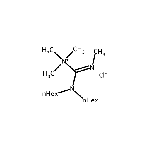 CCCCCCN(CCCCCC)C(=NC)[N+](C)(C)C.[Cl-]